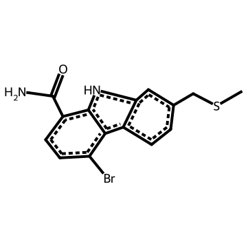 CSCc1ccc2c(c1)[nH]c1c(C(N)=O)ccc(Br)c12